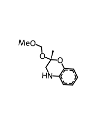 COCO[C@@]1(C)CNc2ccccc2O1